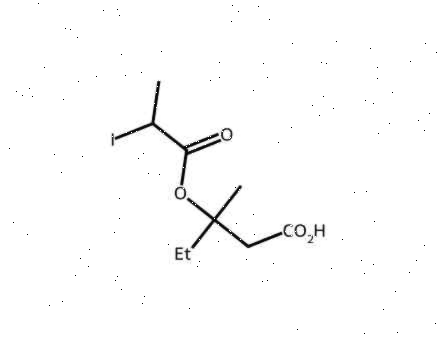 CCC(C)(CC(=O)O)OC(=O)C(C)I